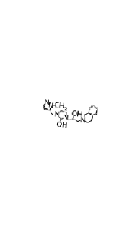 Cn1nccc1CN1CCN(CC(O)CN2CCc3ccccc3C2)C1O